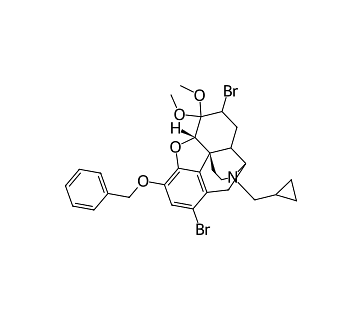 COC1(OC)C(Br)CC2C3Cc4c(Br)cc(OCc5ccccc5)c5c4[C@]2(CCN3CC2CC2)[C@@H]1O5